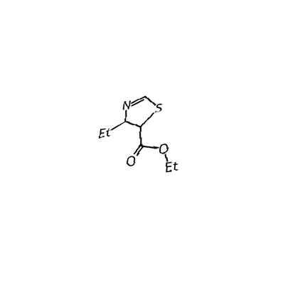 CCOC(=O)C1SC=NC1CC